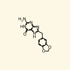 Nc1nc2nc(Cc3ccc4c(c3)OCO4)[nH]c2c(=O)[nH]1